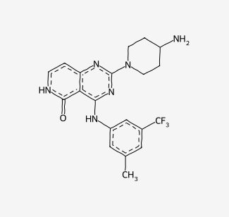 Cc1cc(Nc2nc(N3CCC(N)CC3)nc3cc[nH]c(=O)c23)cc(C(F)(F)F)c1